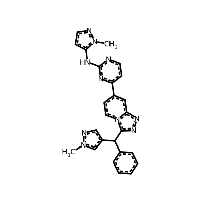 Cn1cc(C(c2ccccc2)c2nnc3cc(-c4ccnc(Nc5ccnn5C)n4)ccn23)cn1